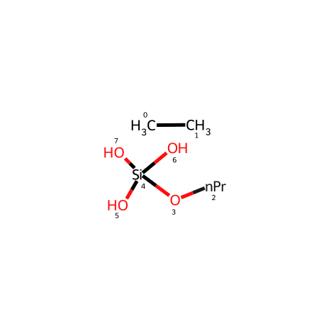 CC.CCCO[Si](O)(O)O